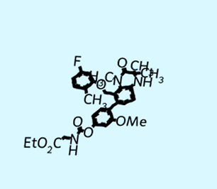 CCOC(=O)CNC(=O)Oc1ccc(-c2ccc3c(c2COc2cc(F)ccc2C)N(C)C(=O)C(C)(C)N3)c(OC)c1